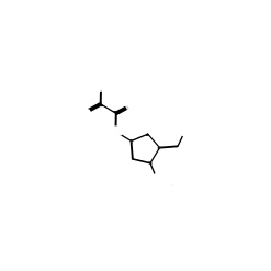 C=C(C)C(=O)OC1CC(C)C(CC)C1